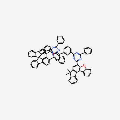 CC1(C)c2ccccc2-c2c1cc(-c1nc(-c3ccccc3)nc(-c3cccc(-c4ccc5c(c4)c4ccccc4c4c6c(ccc54)-c4ccccc4C64c5ccccc5-c5ccc(-c6nc(-c7ccccc7)nc(-c7ccccc7)n6)cc54)c3)n1)c1oc3ccccc3c21